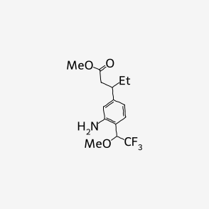 CCC(CC(=O)OC)c1ccc(C(OC)C(F)(F)F)c(N)c1